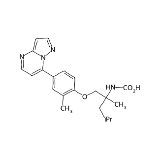 Cc1cc(-c2ccnc3ccnn23)ccc1OCC(C)(CC(C)C)NC(=O)O